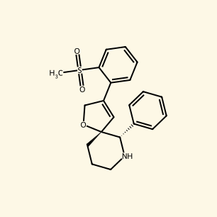 CS(=O)(=O)c1ccccc1C1=C[C@@]2(CCCN[C@H]2c2ccccc2)OC1